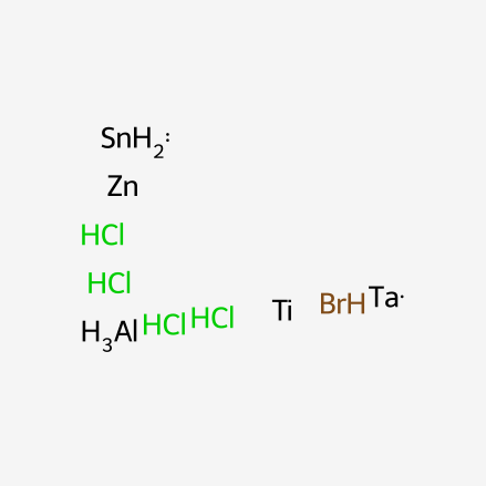 Br.Cl.Cl.Cl.Cl.[AlH3].[SnH2].[Ta].[Ti].[Zn]